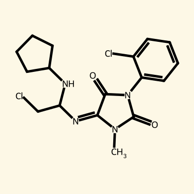 CN1C(=O)N(c2ccccc2Cl)C(=O)/C1=N\C(CCl)NC1CCCC1